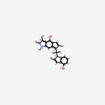 CC1=Cc2c(Br)c3c(cc2=C1C(C)(C)C1C(C)=Cc2c(Br)cccc21)N(C)C(C)C=3C